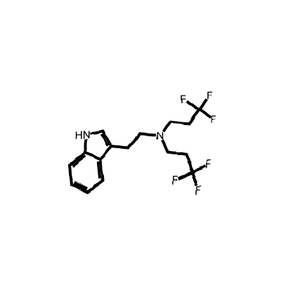 FC(F)(F)CCN(CCc1c[nH]c2ccccc12)CCC(F)(F)F